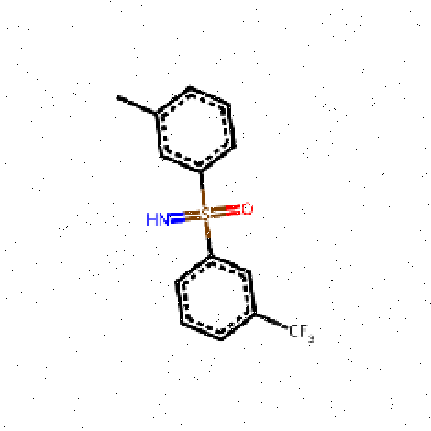 Cc1cccc(S(=N)(=O)c2cccc(C(F)(F)F)c2)c1